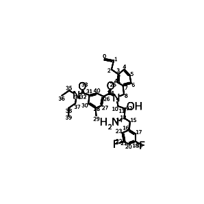 C=CCc1cccc(CN(C[C@@H](O)[C@@H](N)Cc2cc(F)cc(F)c2)C(=O)c2cc(C)cc(C(=O)N(CC)CCC)c2)c1